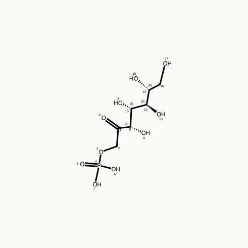 O=C(COP(=O)(O)O)[C@@H](O)[C@H](O)[C@H](O)[C@H](O)CO